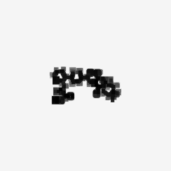 O=C(O)NCc1ncccc1-c1ccc(C(=O)CN2C(=O)NC3(CCC(F)(F)CC3)C2=O)cc1